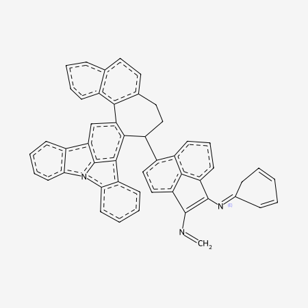 C=NC1=C(/N=C2/C=CC=CC2)c2cccc3c(C4CCc5ccc6ccccc6c5-c5cc6c7ccccc7n7c8ccccc8c(c54)c67)ccc1c23